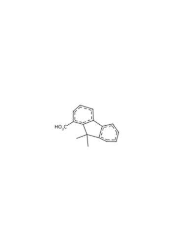 CC1(C)c2ccccc2-c2cccc(C(=O)O)c21